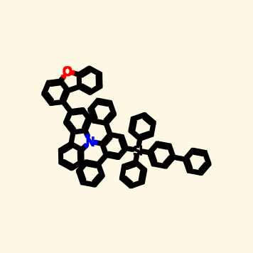 c1ccc(-c2ccc([Si](c3ccccc3)(c3ccccc3)c3cc(-c4ccccc4)c(-n4c5ccccc5c5cc(-c6cccc7oc8ccccc8c67)ccc54)c(-c4ccccc4)c3)cc2)cc1